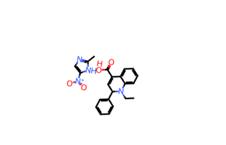 CCN1c2ccccc2C(C(=O)O)=CC1c1ccccc1.Cc1ncc([N+](=O)[O-])[nH]1